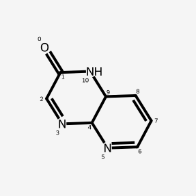 O=C1C=NC2N=CC=CC2N1